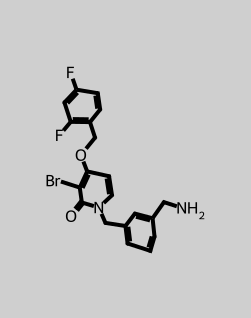 NCc1cccc(Cn2ccc(OCc3ccc(F)cc3F)c(Br)c2=O)c1